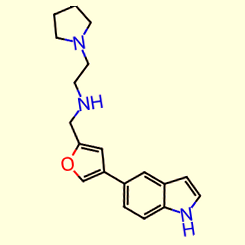 c1cc2cc(-c3coc(CNCCN4CCCC4)c3)ccc2[nH]1